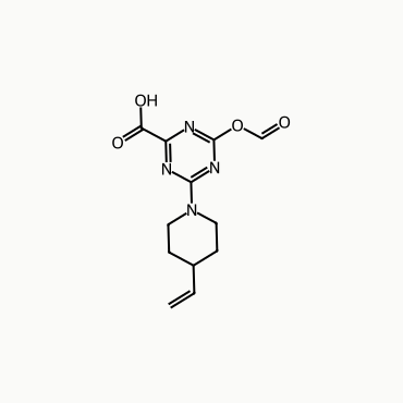 C=CC1CCN(c2nc(OC=O)nc(C(=O)O)n2)CC1